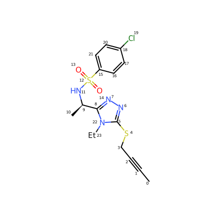 CC#CCSc1nnc([C@@H](C)NS(=O)(=O)c2ccc(Cl)cc2)n1CC